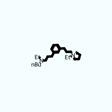 CCCCN(CC)CCCc1cccc(CCC[N+]2(CC)CCCC2)c1